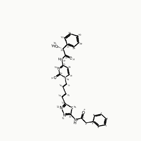 O=C(Cc1ccccc1)Nc1nnc(CCCCn2ccc(NC(=O)[C@H](O)c3ccccc3)nc2=O)s1